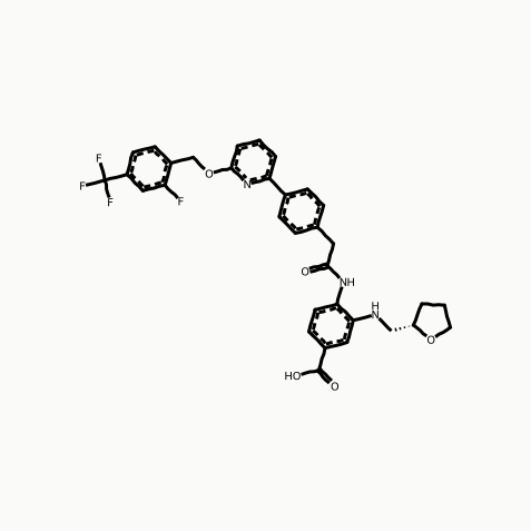 O=C(Cc1ccc(-c2cccc(OCc3ccc(C(F)(F)F)cc3F)n2)cc1)Nc1ccc(C(=O)O)cc1NC[C@@H]1CCCO1